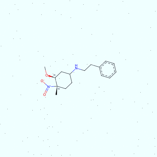 CO[C@H]1CC(NCCc2ccccc2)CC[C@]1(C)[N+](=O)[O-]